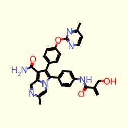 C=C(CO)C(=O)Nc1ccc(-c2c(-c3ccc(Oc4nccc(C)n4)cc3)c(C(N)=O)c3cnc(C)cn23)cc1